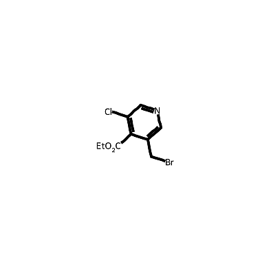 CCOC(=O)c1c(Cl)cncc1CBr